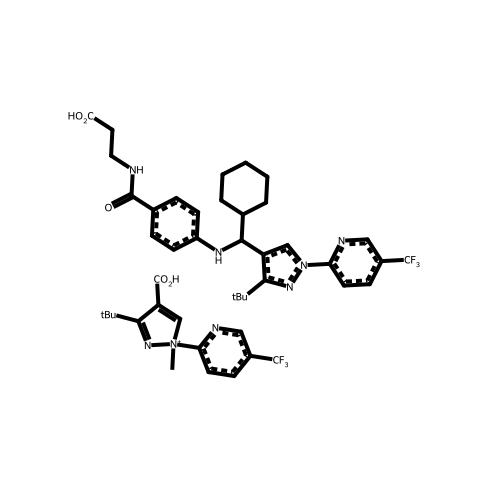 CC(C)(C)C1=N[N+](C)(c2ccc(C(F)(F)F)cn2)C=C1C(=O)O.CC(C)(C)c1nn(-c2ccc(C(F)(F)F)cn2)cc1C(Nc1ccc(C(=O)NCCC(=O)O)cc1)C1CCCCC1